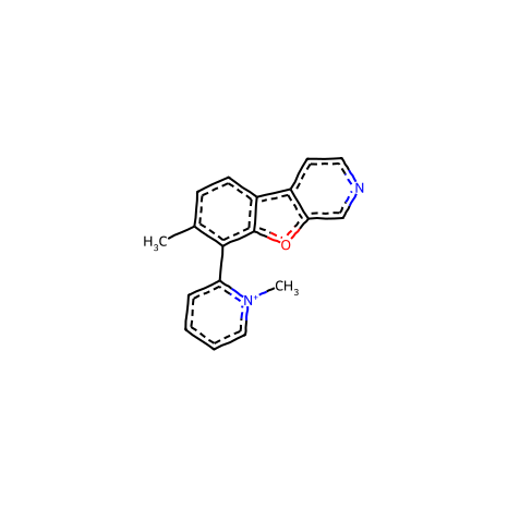 Cc1ccc2c(oc3cnccc32)c1-c1cccc[n+]1C